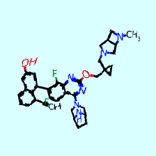 C#Cc1cccc2cc(O)cc(-c3c(F)cc4c(N5CC6CCC(C5)N6)nc(OCC5(CN6CC7CN(C)C7C6)CC5)nc4c3F)c12